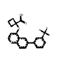 O=C(O)C1(Sc2ccnc3ccc(-c4cccc(C(F)(F)F)c4)cc23)CCC1